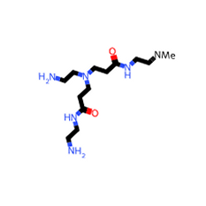 CNCCNC(=O)CCN(CCN)CCC(=O)NCCN